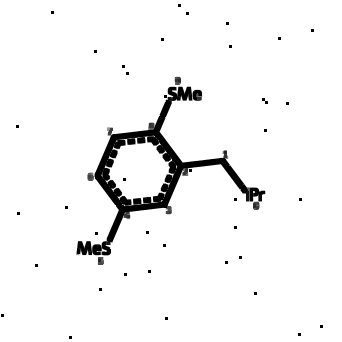 [CH2]C(C)Cc1cc(SC)ccc1SC